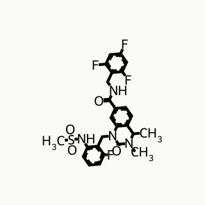 CC1c2ccc(C(=O)NCc3c(F)cc(F)cc3F)cc2N(Cc2c(F)cccc2NS(C)(=O)=O)C(=O)N1C